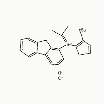 CCCCC1=[C]([Ti+2](=[C](C)C)[c]2cccc3c2Cc2ccccc2-3)CC=C1.[Cl-].[Cl-]